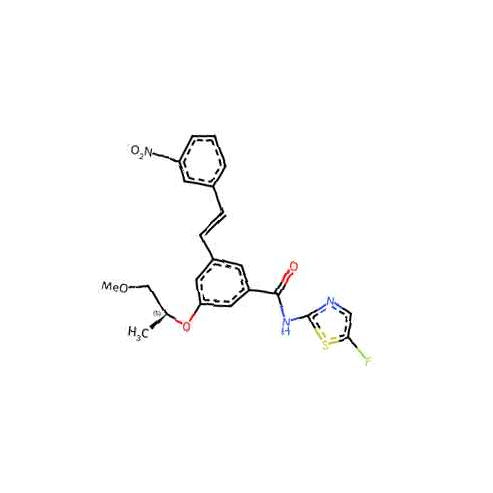 COC[C@H](C)Oc1cc(C=Cc2cccc([N+](=O)[O-])c2)cc(C(=O)Nc2ncc(F)s2)c1